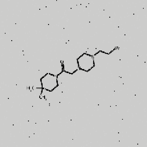 CC(C)CCN1CCN(CC(=O)N2CCC(C)(C)CC2)CC1